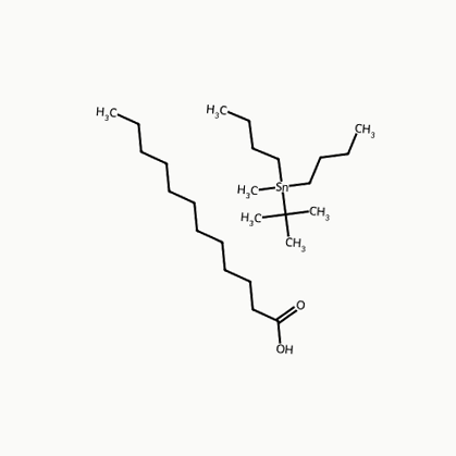 CCCCCCCCCCCC(=O)O.CCC[CH2][Sn]([CH3])([CH2]CCC)[C](C)(C)C